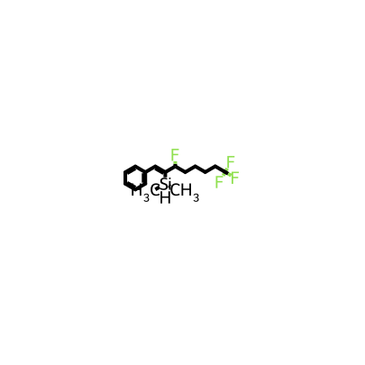 C[SiH](C)C(=Cc1ccccc1)C(F)CCCCC(F)(F)F